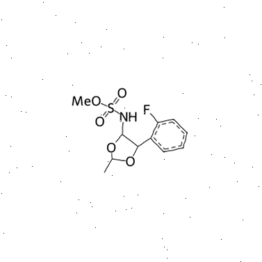 COS(=O)(=O)NC1OC(C)OC1c1ccccc1F